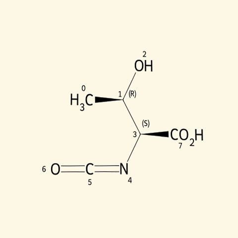 C[C@@H](O)[C@H](N=C=O)C(=O)O